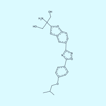 CC(C)COc1ccc(-c2nc(-c3ccc4oc(C(N)(CO)CO)cc4c3)no2)cc1